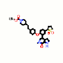 Cn1cc(-c2cc(C3CCCS3(=O)=O)ccc2Oc2ccc(CCC3CCN(C(=O)OC(C)(C)C)CC3)cc2)c2cc[nH]c2c1=O